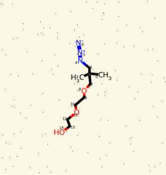 CC(C)(CN=[N+]=[N-])COCCOCCO